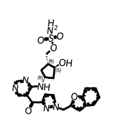 NS(=O)(=O)OC[C@H]1C[C@@H](Nc2ncncc2C(=O)c2ccn(Cc3cc4ccccc4o3)n2)C[C@@H]1O